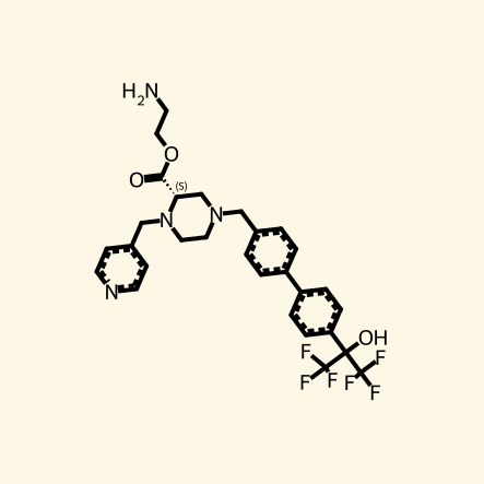 NCCOC(=O)[C@@H]1CN(Cc2ccc(-c3ccc(C(O)(C(F)(F)F)C(F)(F)F)cc3)cc2)CCN1Cc1ccncc1